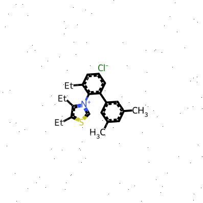 CCc1cccc(-c2cc(C)cc(C)c2)c1-[n+]1csc(CC)c1CC.[Cl-]